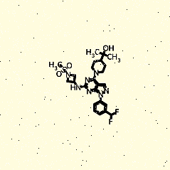 CC(C)(O)C1CCN(c2nc(NC3CN(S(C)(=O)=O)C3)nc3c2cnn3-c2cccc(C(F)F)c2)CC1